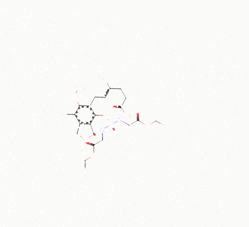 CCOC(=O)CNP(=O)(NCC(=O)OCC)Oc1c(C/C=C(\C)CCC(=O)O)c(OC)c(C)c2c1C(=O)OC2